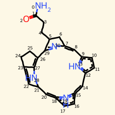 NC(=O)CCC1CC2=Cc3ccc([nH]3)C=c3ccc([nH]3)=CC3C=C4CCC(=C4N3)C1=N2